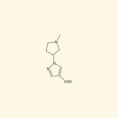 CN1CCC(n2cc(C=O)cn2)C1